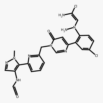 Cn1ncc(NC=O)c1-c1cccc(Cn2cnc(-c3cc(Cl)ccc3N(N)/C=C(\N)Cl)cc2=O)n1